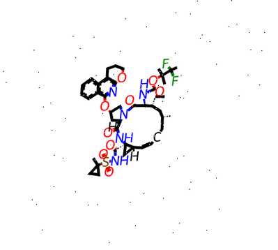 CC[C@@H]1C[C@H](C)CC/C=C\[C@@H]2C[C@@]2(C(=O)NS(=O)(=O)C2(C)CC2)NC(=O)[C@@H]2C[C@@H](Oc3nc4c(c5ccccc35)CCCO4)CN2C(=O)[C@H]1NC(=O)OC(C)(C)C(C)(F)F